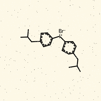 CC(C)Cc1ccc([I+]c2ccc(CC(C)C)cc2)cc1.[Br-]